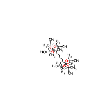 C#CC(C)(C)O[Si](CCCCCC[Si](OC(C)(C)C#C)(OC(C)(C)C#C)OC(C)(C)C#C)(OC(C)(C)C#C)OC(C)(C)C#C